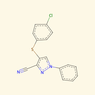 N#Cc1nn(-c2ccccc2)cc1Sc1ccc(Cl)cc1